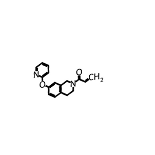 C=CC(=O)N1CCc2ccc(Oc3ccccn3)cc2C1